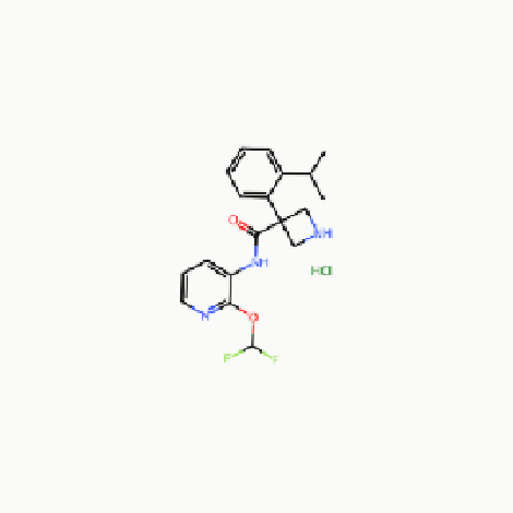 CC(C)c1ccccc1C1(C(=O)Nc2cccnc2OC(F)F)CNC1.Cl